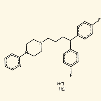 Cl.Cl.Fc1ccc(C(CCCN2CCN(c3ccccn3)CC2)c2ccc(F)cc2)cc1